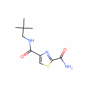 CC(C)(C)CNC(=O)c1csc(C(N)=O)n1